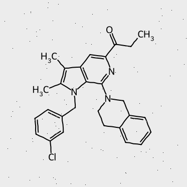 CCC(=O)c1cc2c(C)c(C)n(Cc3cccc(Cl)c3)c2c(N2CCc3ccccc3C2)n1